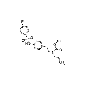 C=CCN(CCc1ccc(NS(=O)(=O)c2ccc(C(C)C)cc2)cc1)C(=O)OC(C)(C)C